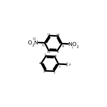 Ic1ccccc1.O=[N+]([O-])c1ccc([N+](=O)[O-])cc1